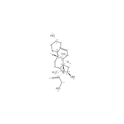 C[C@]12CC[C@H]3[C@@H](CC=C4C[C@@H](O)CC[C@@]43C)[C@@H]1C[C@@H](O)[C@@H]2C(=O)CO